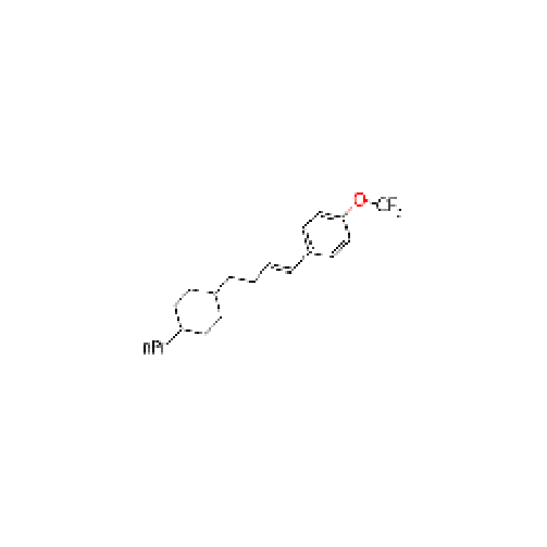 CCCC1CCC(CCC=Cc2ccc(OC(F)(F)F)cc2)CC1